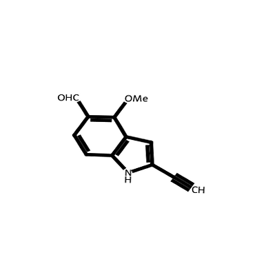 C#Cc1cc2c(OC)c(C=O)ccc2[nH]1